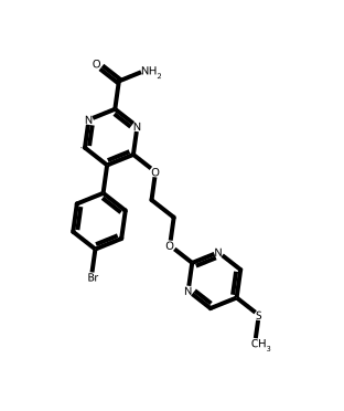 CSc1cnc(OCCOc2nc(C(N)=O)n[c]c2-c2ccc(Br)cc2)nc1